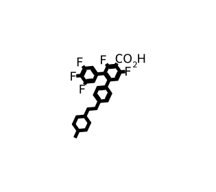 CC1CCC(CCc2ccc(-c3cc(F)c(C(=O)O)c(F)c3-c3cc(F)c(F)c(F)c3)cc2)CC1